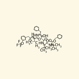 CC[C@H](C)[C@H](NC(=O)C[C@H](O)[C@H](Cc1ccccc1)NC(=O)[C@@H](NC(=O)Cc1cccc(OC(F)(F)F)c1)C(C)C)C(=O)N[C@H](C(=O)OCc1ccccc1)C(C)C